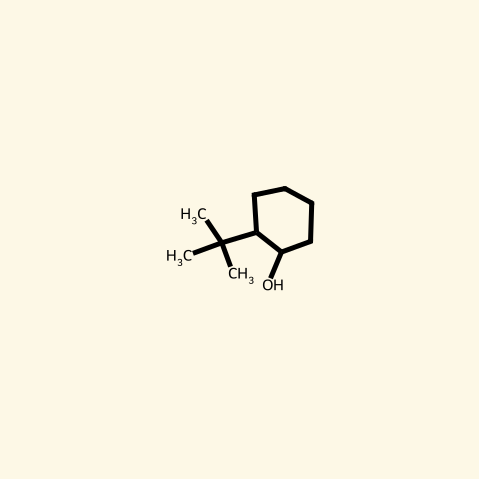 CC(C)(C)C1CCCCC1O